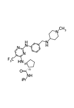 CC(C)NC(=O)[C@H]1CCC[C@H]1Nc1nc(Nc2cccc(CNC3CCN(C)CC3)c2)ncc1C(F)(F)F